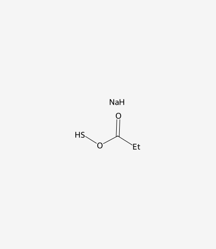 CCC(=O)OS.[NaH]